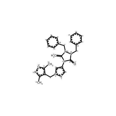 C=C1N(c2cnn(Cc3c(C)noc3C)c2)C(=O)N(Cc2ccccc2)N1Cc1ccccc1